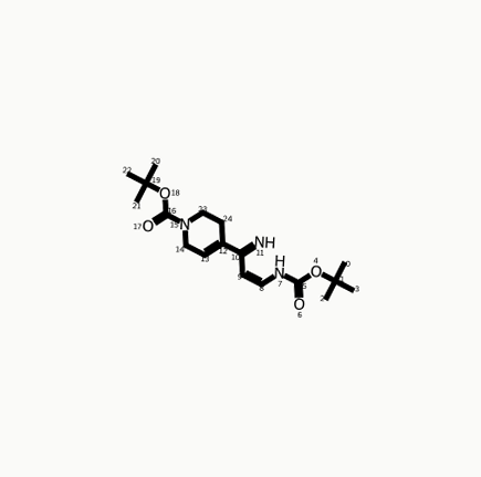 CC(C)(C)OC(=O)N/C=C\C(=N)C1=CCN(C(=O)OC(C)(C)C)CC1